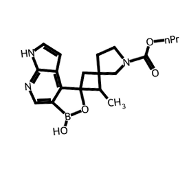 CCCOC(=O)N1CCC2(C1)CC1(OB(O)c3cnc4[nH]ccc4c31)C2C